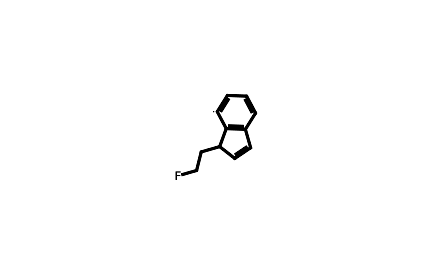 FCCC1C=Cc2ccc[c]c21